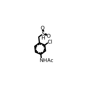 CC(=O)Nc1ccc(C[SH](=O)=O)c(Cl)c1